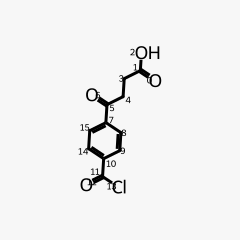 O=C(O)CCC(=O)c1ccc(C(=O)Cl)cc1